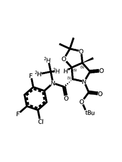 [2H]C([2H])([2H])N(C(=O)[C@@H]1[C@@H]2OC(C)(C)O[C@]2(C)C(=O)N1C(=O)OC(C)(C)C)c1cc(Cl)c(F)cc1F